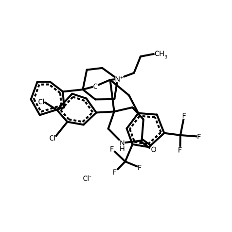 CCC[N+]12CCC(c3ccccc3)(CC1)CC2(Cc1cc(C(F)(F)F)cc(C(F)(F)F)c1)C1(c2ccc(Cl)c(Cl)c2)CCC(=O)NC1.[Cl-]